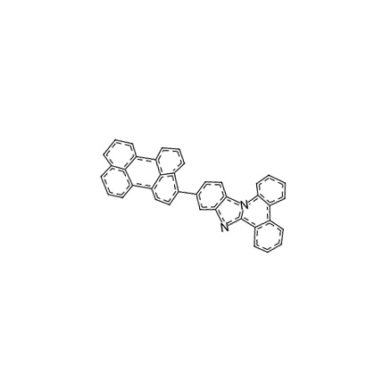 c1ccc2c(c1)c1ccccc1n1c3ccc(-c4ccc5c6cccc7cccc(c8cccc4c85)c76)cc3nc21